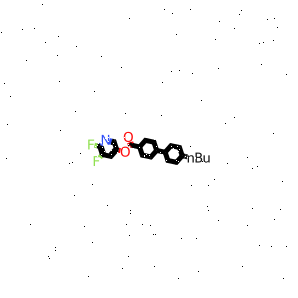 CCCCC1CCC(C2CCC(C(=O)Oc3cnc(F)c(F)c3)CC2)CC1